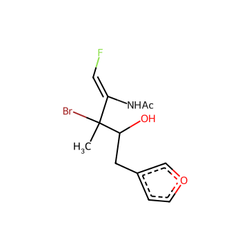 CC(=O)N/C(=C\F)C(C)(Br)C(O)Cc1ccoc1